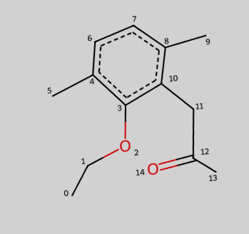 CCOc1c(C)ccc(C)c1CC(C)=O